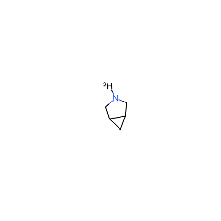 [2H]N1CC2CC2C1